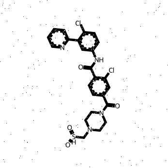 O=C(Nc1ccc(Cl)c(-c2ccccn2)c1)c1ccc(C(=O)N2CCN(C[SH](=O)=O)CC2)cc1Cl